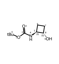 CC(C)(C)OC(=O)N[C@H]1CC[C@@H]1O